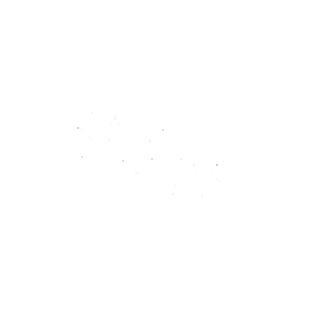 Cc1cccc2oc3c4ccc5c(oc6cccc(C)c65)c4ccc3c12